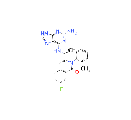 Cc1ccccc1-n1c([C@H](C)Nc2nc(N)nc3[nH]cnc23)cc2ccc(F)cc2c1=O